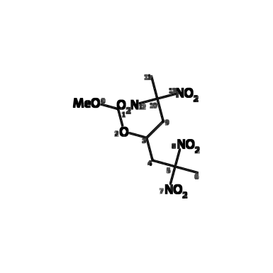 COCOC(CC(C)([N+](=O)[O-])[N+](=O)[O-])CC(C)([N+](=O)[O-])[N+](=O)[O-]